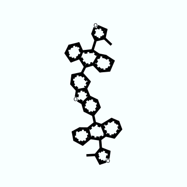 Cc1cocc1-c1c2ccccc2c(-c2ccc3c(c2)oc2ccc(-c4c5ccccc5c(-c5cocc5C)c5ccccc45)cc23)c2ccccc12